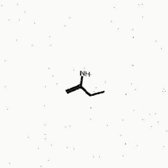 C=C([NH])CC